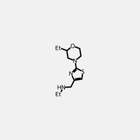 CCNCc1csc(N2CCOC(CC)C2)n1